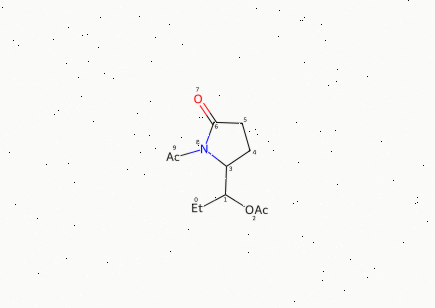 CCC(OC(C)=O)C1CCC(=O)N1C(C)=O